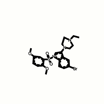 CCN1CCN(c2cn(S(=O)(=O)c3cc(OC)ccc3OC)c3ccc(Br)cc23)CC1